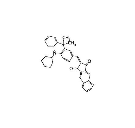 CC1(C)c2ccccc2N(C2CCCCC2)c2ccc(C=C3C(=O)c4cc5ccccc5cc4C3=O)cc21